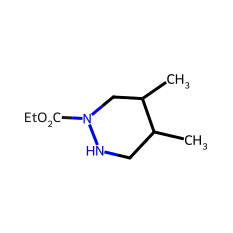 CCOC(=O)N1CC(C)C(C)CN1